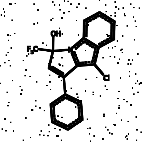 OC1(C(F)(F)F)C=C(c2ccccc2)c2c(Cl)c3ccccc3n21